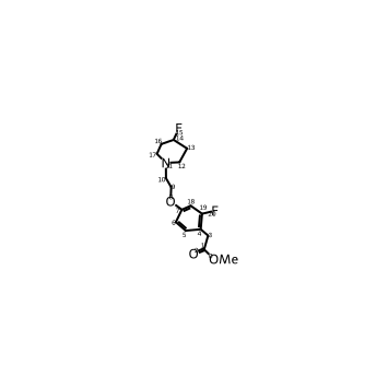 COC(=O)Cc1ccc(OCCN2CCC(F)CC2)cc1F